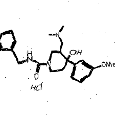 COc1cccc(C2(O)CCN(C(=O)NCc3ccccc3)CC2CN(C)C)c1.Cl